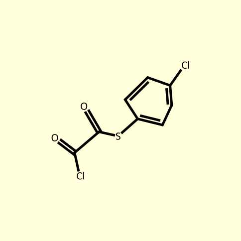 O=C(Cl)C(=O)Sc1ccc(Cl)cc1